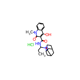 CCC(NC(=O)c1c(O)c2ccccc2n(C)c1=O)N1C2CC3CC(C2)CC1C3.Cl